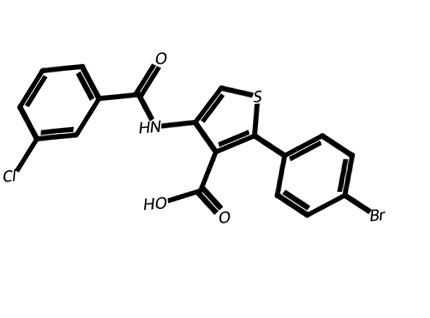 O=C(Nc1csc(-c2ccc(Br)cc2)c1C(=O)O)c1cccc(Cl)c1